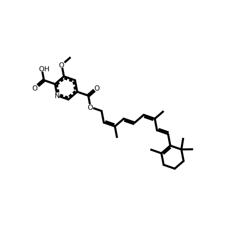 COc1cc(C(=O)OCC=C(C)C=CC=C(C)C=CC2=C(C)CCCC2(C)C)cnc1C(=O)O